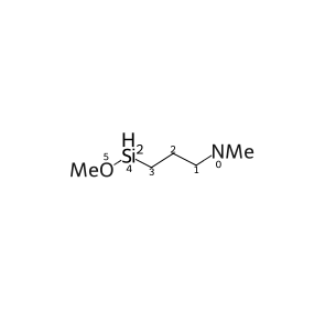 CNCCC[SiH2]OC